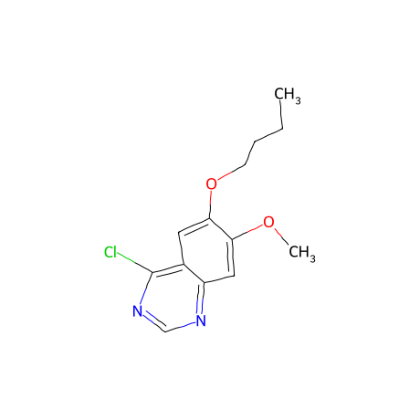 CCCCOc1cc2c(Cl)ncnc2cc1OC